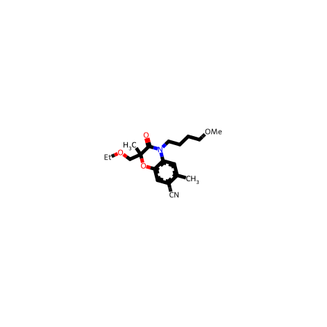 CCOCC1(C)Oc2cc(C#N)c(C)cc2N(CCCCOC)C1=O